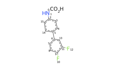 O=C(O)Nc1ccc(-c2ccc(F)c(F)c2)cc1